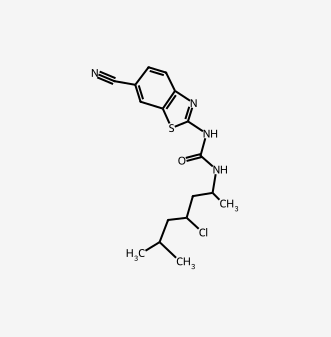 CC(C)CC(Cl)CC(C)NC(=O)Nc1nc2ccc(C#N)cc2s1